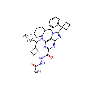 CNC(=O)NNC(=O)c1nc(N[C@H](C)C2CCC2)c2c(n1)nc(C1(c3ccccc3)CCC1)n2C[C@H]1CC[C@H](C)CC1